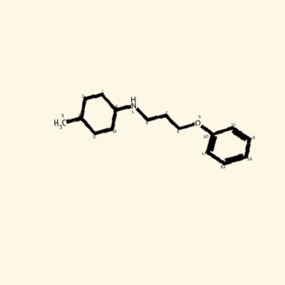 CC1CCC(NCCCOc2ccccc2)CC1